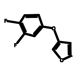 Fc1ccc(Oc2c[c]oc2)cc1F